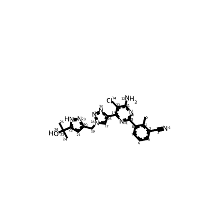 Cc1c(C#N)cccc1-c1nc(N)c(Cl)c(-c2cn(Cc3cc(C(C)(C)O)[nH]n3)nn2)n1